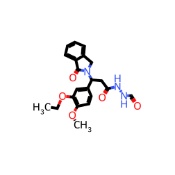 CCOc1cc(C(CC(=O)NNC=O)N2Cc3ccccc3C2=O)ccc1OC